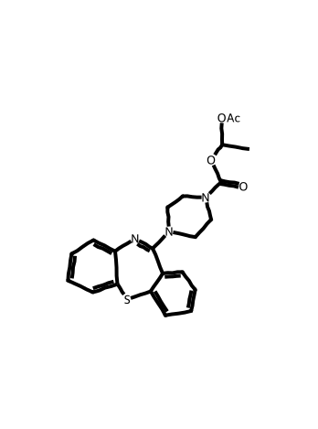 CC(=O)OC(C)OC(=O)N1CCN(C2=Nc3ccccc3Sc3ccccc32)CC1